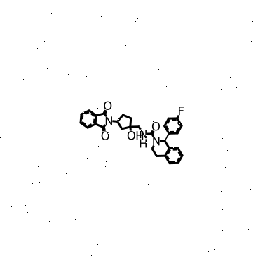 O=C1c2ccccc2C(=O)N1C1CCC(O)(CNC(=O)N2CCc3ccccc3[C@@H]2c2ccc(F)cc2)C1